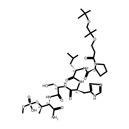 COP(=O)(O)O[C@H](C)[C@H](NC(=O)[C@H](CO)NC(=O)[C@H](Cc1cnc[nH]1)NC(=O)[C@H](CC(C)C)NC(=O)[C@@H]1CCCN1C(=O)CCOC(C)(C)COC(C)(C)C)C(N)=O